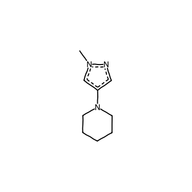 Cn1cc(N2CCCCC2)cn1